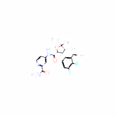 C=Cc1c([C@@H]2[C@@H](C(=O)Nc3ccnc(C(N)=O)c3)O[C@@](C)(C(F)(F)F)[C@H]2C)ccc(F)c1F